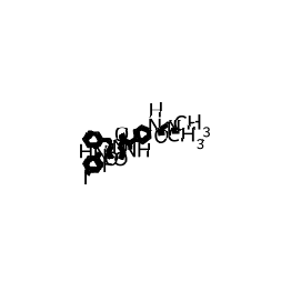 CN(C)CC(=O)Nc1ccc(C2NC(=O)N(C(Cc3ccccc3)C(=O)Nc3ccc(I)cc3F)C2=O)cc1